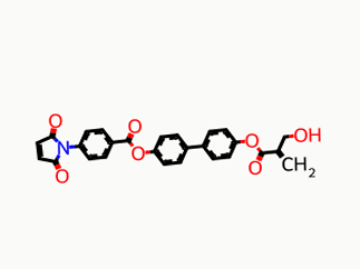 C=C(CO)C(=O)Oc1ccc(-c2ccc(OC(=O)c3ccc(N4C(=O)C=CC4=O)cc3)cc2)cc1